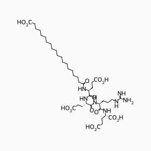 N=C(N)NCCC[C@H](NC(=O)[C@H](CCC(=O)O)NC(=O)[C@H](CCC(=O)O)NC(=O)CCCCCCCCCCCCCCCCCCC(=O)O)C(=O)N[C@@H](CCC(=O)O)C(=O)O